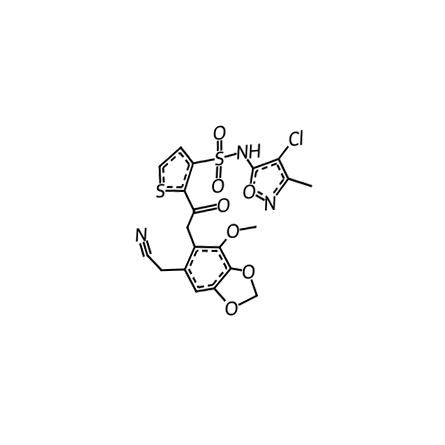 COc1c(CC(=O)c2sccc2S(=O)(=O)Nc2onc(C)c2Cl)c(CC#N)cc2c1OCO2